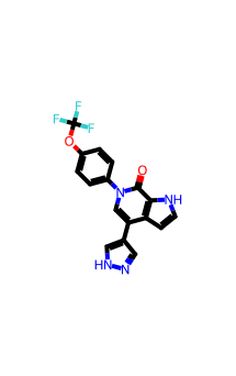 O=c1c2[nH]ccc2c(-c2cn[nH]c2)cn1-c1ccc(OC(F)(F)F)cc1